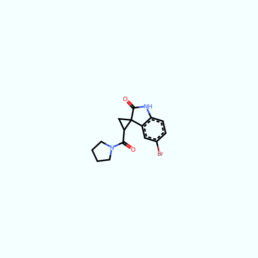 O=C(C1CC12C(=O)Nc1ccc(Br)cc12)N1CCCC1